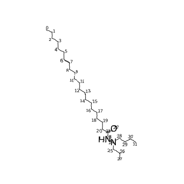 CCCCCCCCCCCCCCCCCCCCCC(=O)NN(CCC)CCCC